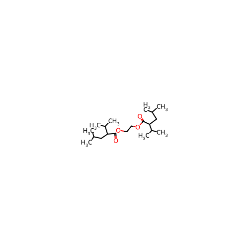 CC(C)CC(C(=O)OCCOC(=O)C(CC(C)C)C(C)C)C(C)C